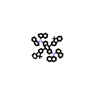 CC1(C)C2=C(C=CCC2)c2ccc(-c3c4ccc(N(c5cccc6ccccc56)c5cccc6ccccc56)cc4c(-c4ccc5c(c4)C(C)(C)c4ccccc4-5)c4ccc(N(c5cccc6ccccc56)c5cccc6ccccc56)cc34)cc21